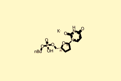 CCCCOP(=O)(O)OC[C@H]1CC[C@H](n2ccc(=O)[nH]c2=O)O1.[K]